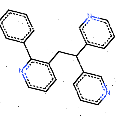 c1ccc(-c2ncccc2CC(c2cccnc2)c2cccnc2)cc1